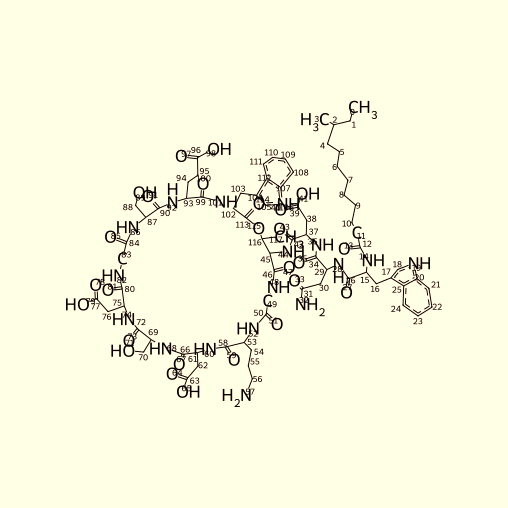 CCC(C)CCCCCCCCC(=O)NC(Cc1c[nH]c2ccccc12)C(=O)NC(CC(N)=O)C(=O)NC(CC(=O)O)C(=O)NC1C(=O)NCC(=O)NC(CCCN)C(=O)NC(CC(=O)O)C(=O)NC(CO)C(=O)NC(CC(=O)O)C(=O)NCC(=O)NC(CO)C(=O)NC(CCC(=O)O)C(=O)NC(Cc2c[nH]c3ccccc23)C(=O)OC1C